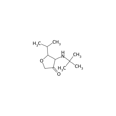 CC(C)C1OCC(=O)C1NC(C)(C)C